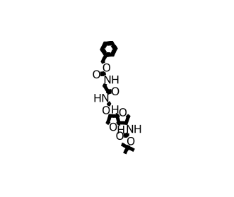 CC(C)(C)OC(=O)N[C@H]1CO[C@H]2[C@@H]1OC[C@H]2OCNC(=O)CNC(=O)OCc1ccccc1